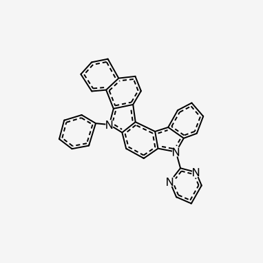 c1ccc(-n2c3ccc4c(c5ccccc5n4-c4ncccn4)c3c3ccc4ccccc4c32)cc1